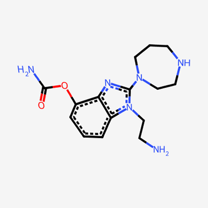 NCCn1c(N2CCCNCC2)nc2c(OC(N)=O)cccc21